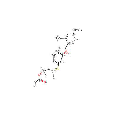 C=CC(=O)OC(C)(C)CC(C)Sc1ccc2cc(-c3ccc(CCCCC)cc3C(F)(F)F)oc2c1